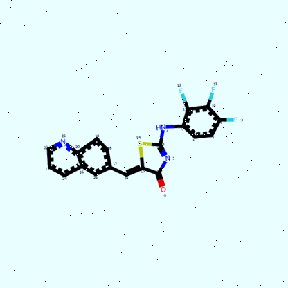 O=C1N=C(Nc2ccc(F)c(F)c2F)S/C1=C\c1ccc2ncccc2c1